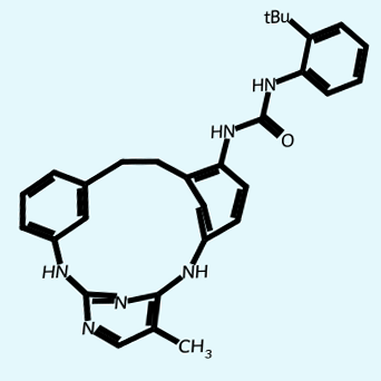 Cc1cnc2nc1Nc1ccc(NC(=O)Nc3ccccc3C(C)(C)C)c(c1)CCc1cccc(c1)N2